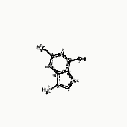 Cc1nc(O)c2scc(C)c2n1